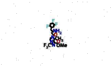 COC(=O)c1nc(C(F)(F)F)n2c1C(C)N(C(=O)CC(N)Cc1cc(F)c(F)cc1F)CC2